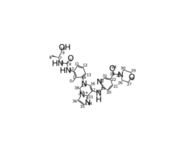 Cc1c(NC(=O)N[C@@H](C)CO)cccc1N1C=C(Nc2ccc(C(=O)N3CCOCC3)cn2)C2=NC=C[N+]2C1